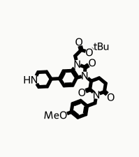 COc1ccc(CN2C(=O)CCC(n3c(=O)n(CC(=O)OC(C)(C)C)c4cc(C5CCNCC5)ccc43)C2=O)cc1